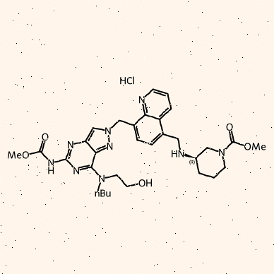 CCCCN(CCO)c1nc(NC(=O)OC)nc2cn(Cc3ccc(CN[C@@H]4CCCN(C(=O)OC)C4)c4cccnc34)nc12.Cl